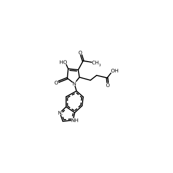 CC(=O)C1=C(O)C(=O)N(c2ccc3[nH]cnc3c2)C1CCC(=O)O